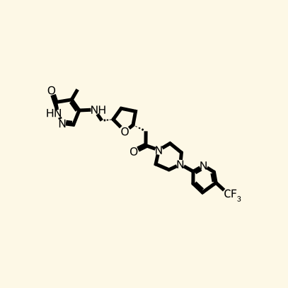 Cc1c(NC[C@@H]2CC[C@H](CC(=O)N3CCN(c4ccc(C(F)(F)F)cn4)CC3)O2)cn[nH]c1=O